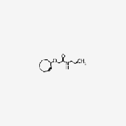 C=CCNC(=O)COC1C#CCCCCC1